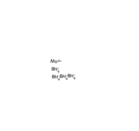 [BH4-].[BH4-].[BH4-].[BH4-].[Mo+4]